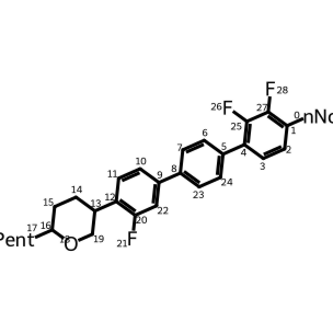 CCCCCCCCCc1ccc(-c2ccc(-c3ccc(C4CCC(CCCCC)OC4)c(F)c3)cc2)c(F)c1F